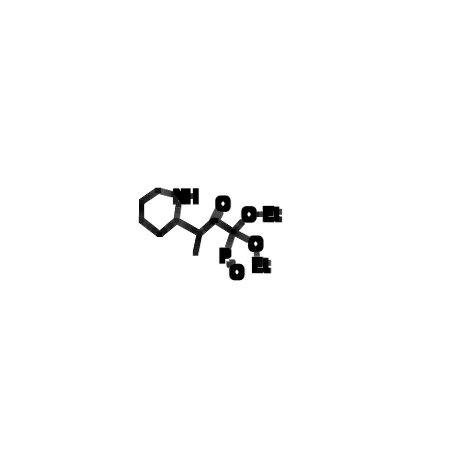 CCOC(OCC)(P=O)C(=O)C(C)C1CCCCN1